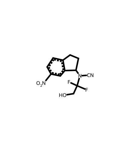 N#CN(C1CCc2ccc([N+](=O)[O-])cc21)C(F)(F)CO